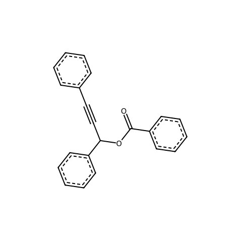 O=C(OC(C#Cc1ccccc1)c1ccccc1)c1ccccc1